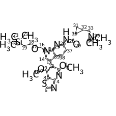 COc1nc2ncsc2c(OC)c1-c1cn(COCC[Si](C)(C)C)c2nc(NC(=O)[C@@H]3C[C@H]3CN(C)C)ccc12